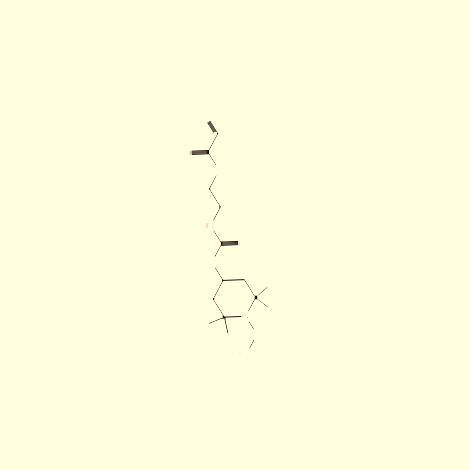 C=CC(=O)OCCNC(=O)OC1CC(C)(C)N(OCCCCCCCC)C(C)(C)C1